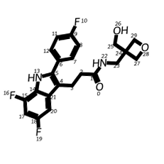 O=C(CCc1c(-c2ccc(F)cc2)[nH]c2c(F)cc(F)cc12)NCC1(CO)COC1